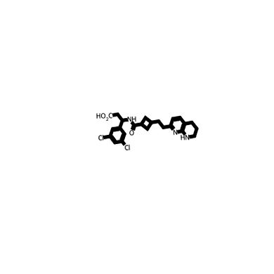 O=C(O)CC(NC(=O)C1CC(CCc2ccc3c(n2)NCCC3)C1)c1cc(Cl)cc(Cl)c1